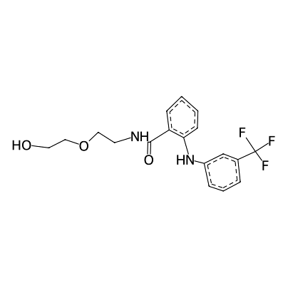 O=C(NCCOCCO)c1ccccc1Nc1cccc(C(F)(F)F)c1